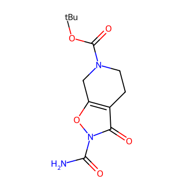 CC(C)(C)OC(=O)N1CCc2c(on(C(N)=O)c2=O)C1